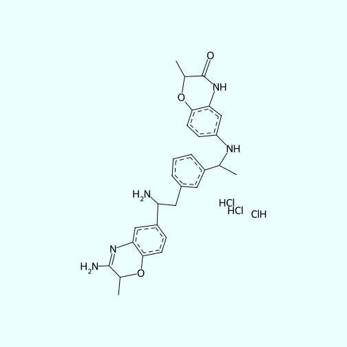 CC1Oc2ccc(NC(C)c3cccc(CC(N)c4ccc5c(c4)N=C(N)C(C)O5)c3)cc2NC1=O.Cl.Cl.Cl